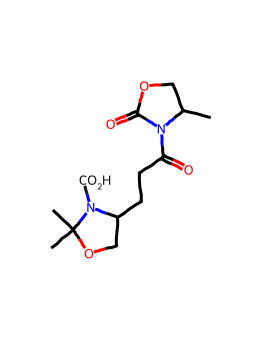 CC1COC(=O)N1C(=O)CCC1COC(C)(C)N1C(=O)O